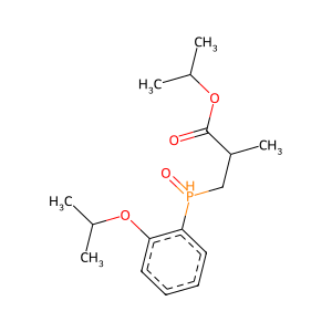 CC(C)OC(=O)C(C)C[PH](=O)c1ccccc1OC(C)C